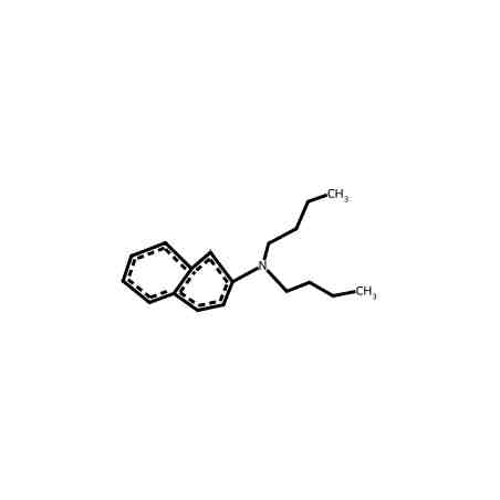 CCCCN(CCCC)c1[c]c2ccccc2cc1